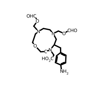 Nc1ccc(CC2CN(COC=O)CCN(COC=O)CCOCCN2CC(=O)O)cc1